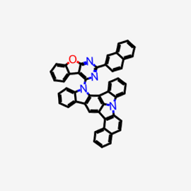 c1ccc2cc(-c3nc(-n4c5ccccc5c5cc6c7c8ccccc8ccc7n7c8ccccc8c(c54)c67)c4c(n3)oc3ccccc34)ccc2c1